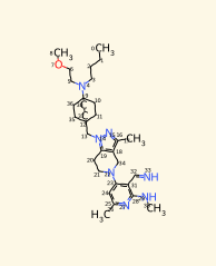 CCCCN(CCOC)C12CCC(Cn3nc(C)c4c3CCN(c3cc(C)nc(NC)c3C=N)C4)(CC1)CC2